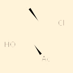 CC(=O)[C@@H](O)[C@@H](C)Cl